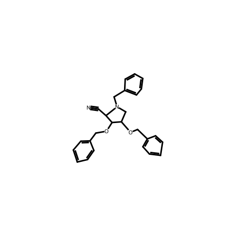 N#CC1C(OCc2ccccc2)C(OCc2ccccc2)CN1Cc1ccccc1